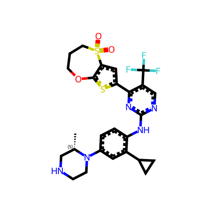 C[C@H]1CNCCN1c1ccc(Nc2ncc(C(F)(F)F)c(-c3cc4c(s3)OCCCS4(=O)=O)n2)c(C2CC2)c1